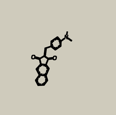 CN(C)c1ccc(C=C2C(=O)c3cc4ccccc4cc3C2=O)cc1